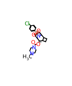 CN1CCN(C(=O)O[C@H]2C3CCC3C3CCCC2N3S(=O)(=O)c2ccc(Cl)cc2)CC1